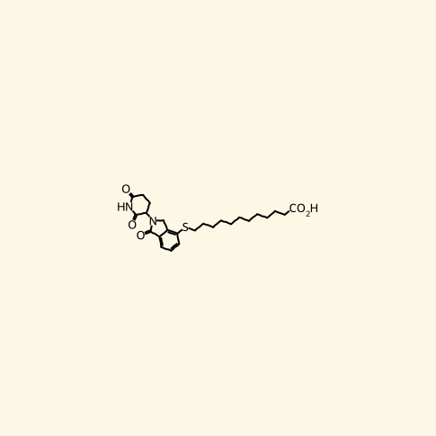 O=C(O)CCCCCCCCCCCSc1cccc2c1CN(C1CCC(=O)NC1=O)C2=O